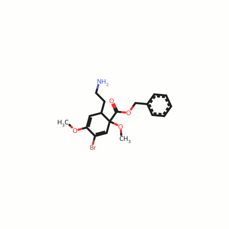 COC1=CC(CCN)C(OC)(C(=O)OCc2ccccc2)C=C1Br